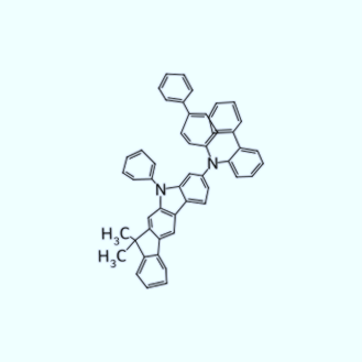 CC1(C)c2ccccc2-c2cc3c4ccc(N(c5ccc(-c6ccccc6)cc5)c5ccccc5-c5ccccc5)cc4n(-c4ccccc4)c3cc21